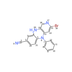 N#Cc1ccc(N(c2ccccc2)c2cc(Br)ncc2N)cc1